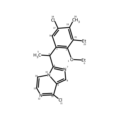 CCOc1c(C(C)c2ncc3c(Cl)nccn23)cc(Cl)c(C)c1CC